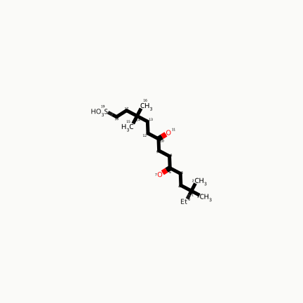 CCC(C)(C)CCC(=O)CCC(=O)CCC(C)(C)CCS(=O)(=O)O